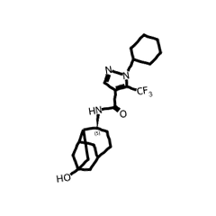 O=C(N[C@H]1CCC2CC3CC(O)(C2)CC31)c1cnn(C2CCCCC2)c1C(F)(F)F